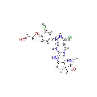 CNC(=O)[C@]1(C)CC[C@@H](Nc2ncc3c(Br)nn(-c4ccc(OCCO)c(Cl)c4)c3n2)C1